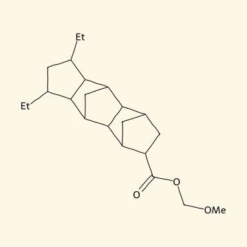 CCC1CC(CC)C2C3CC(C12)C1C2CC(C(=O)OCOC)C(C2)C31